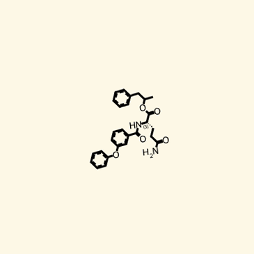 CC(Cc1ccccc1)OC(=O)[C@H](CCC(N)=O)NC(=O)c1cccc(Oc2ccccc2)c1